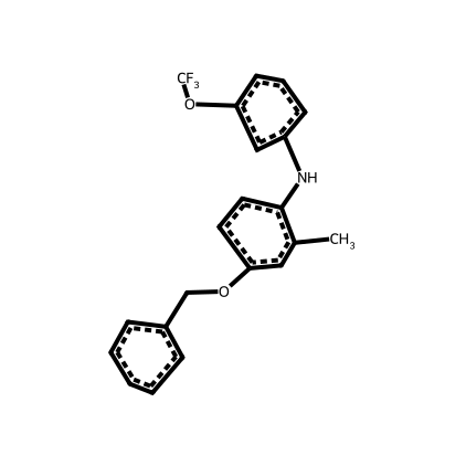 Cc1cc(OCc2ccccc2)ccc1Nc1cccc(OC(F)(F)F)c1